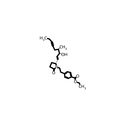 CCC#CC[C@H](C)[C@H](O)/C=C/[C@H]1CCC(=O)N1CCc1ccc(C(=O)OCC)cc1